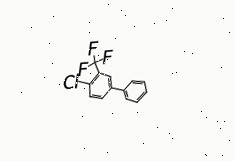 FC(F)(F)c1cc(-c2ccccc2)ccc1Cl